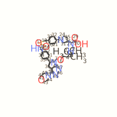 C[Si](C)(C)CCOCn1c(-c2ccc(NS(=O)(=O)Cc3ccc(N4CCC(NC(=O)O)C4)cc3)cc2)cc2c(N3CCOCC3)ncnc21